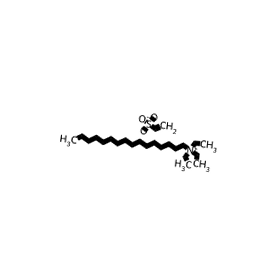 C=CS(=O)(=O)[O-].CCCCCCCCCCCCCCCC[N+](CC)(CC)CC